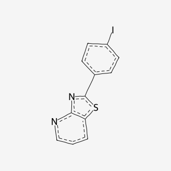 Ic1ccc(-c2nc3ncccc3s2)cc1